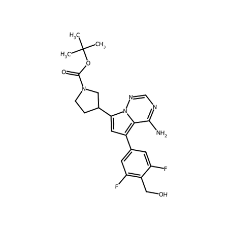 CC(C)(C)OC(=O)N1CCC(c2cc(-c3cc(F)c(CO)c(F)c3)c3c(N)ncnn23)C1